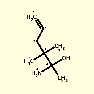 C=CCC(C)(C)C(C)(N)O